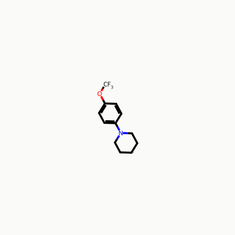 FC(F)(F)Oc1ccc(N2CC[CH]CC2)cc1